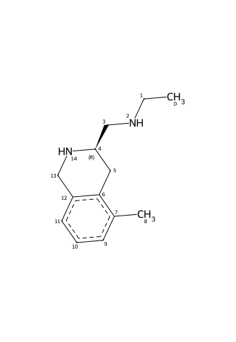 CCNC[C@H]1Cc2c(C)cccc2CN1